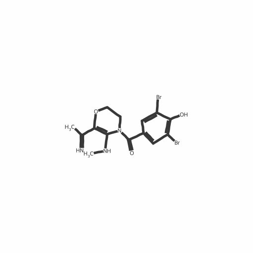 CNC1=C(C(C)=N)OCCN1C(=O)c1cc(Br)c(O)c(Br)c1